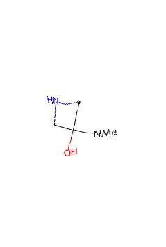 CNC1(O)CNC1